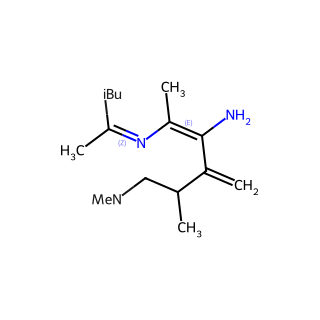 C=C(/C(N)=C(C)\N=C(\C)C(C)CC)C(C)CNC